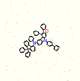 c1ccc(-c2ccc(-n3c4ccc(N(c5ccccc5)c5cccc6c5-c5ccccc5C6(c5ccccc5)c5ccccc5)cc4c4c(-c5ccccc5)c5c(cc43)oc3ccccc35)cc2)cc1